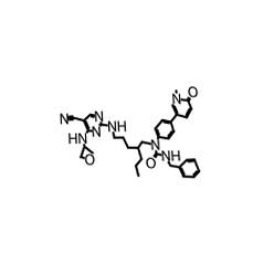 CCCC(CCCNc1ncc(C#N)c(NC2COC2)n1)CN(C(=O)NCc1ccccc1)c1ccc(-c2ccc(=O)n(C)c2)cc1